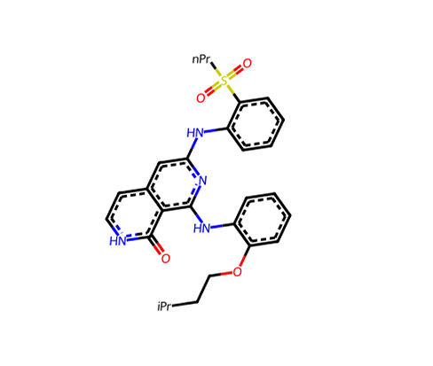 CCCS(=O)(=O)c1ccccc1Nc1cc2cc[nH]c(=O)c2c(Nc2ccccc2OCCC(C)C)n1